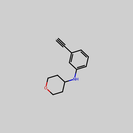 [C]#Cc1cccc(NC2CCOCC2)c1